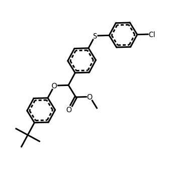 COC(=O)C(Oc1ccc(C(C)(C)C)cc1)c1ccc(Sc2ccc(Cl)cc2)cc1